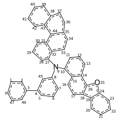 c1ccc(-c2cccc(N(c3cccc4c3ccc3c5ccccc5oc43)c3cccc4c3ccc3ccc5ccccc5c34)c2)cc1